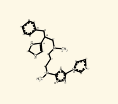 CN(CCCN(C)c1nc(-n2ccnc2)ns1)CC(Cc1ccccc1)C1=COCO1